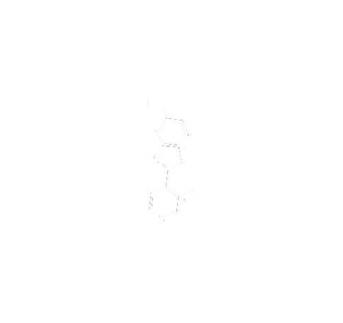 FC(F)(F)c1ccc2c(c1)N=C(c1ccncc1I)C2